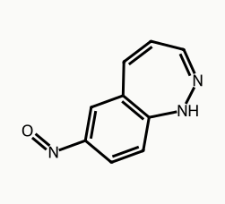 O=Nc1ccc2c(c1)C=CC=NN2